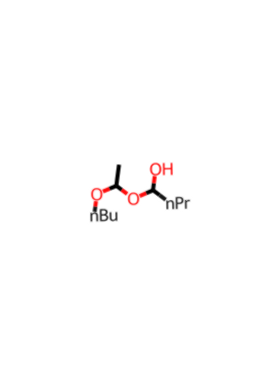 CCCCOC(C)OC(O)CCC